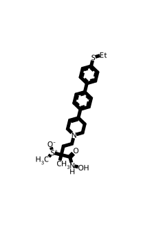 CCSc1ccc(-c2ccc(C3=CCN(CCC(C)(C(=O)NO)[S+](C)[O-])CC3)cc2)cc1